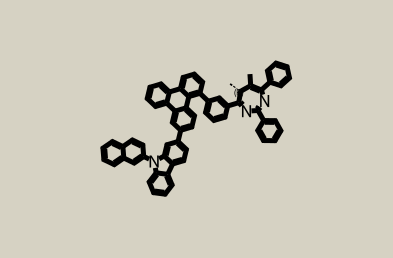 CC1=C(c2ccccc2)N=C(c2ccccc2)N=C(c2cccc(-c3cccc4c5ccccc5c5cc(-c6ccc7c8ccccc8n(-c8ccc9ccccc9c8)c7c6)ccc5c34)c2)[C@@H]1C